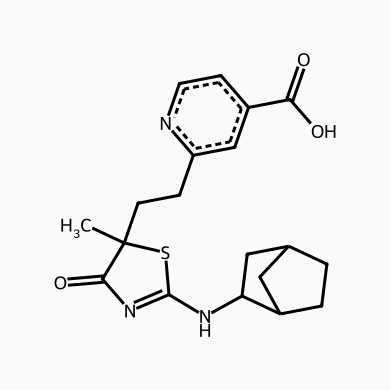 CC1(CCc2cc(C(=O)O)ccn2)SC(NC2CC3CCC2C3)=NC1=O